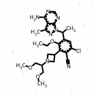 CCOc1c(C(C)n2nc(C)c3c(N)ncnc32)cc(Cl)c(C#N)c1C1CN(C(COC)COC)C1